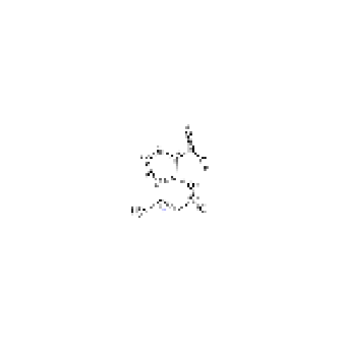 N/C(=C/[N+](=O)[O-])c1cccc([N+](=O)[O-])c1